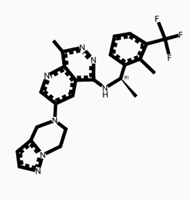 Cc1c([C@@H](C)Nc2nnc(C)c3ncc(N4CCn5nccc5C4)cc23)cccc1C(F)(F)F